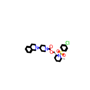 C[C@@H]1CCC[C@H](COC(=O)N2CCC(N3CCc4ccccc4C3)CC2)N1S(=O)(=O)c1ccc(Cl)cc1